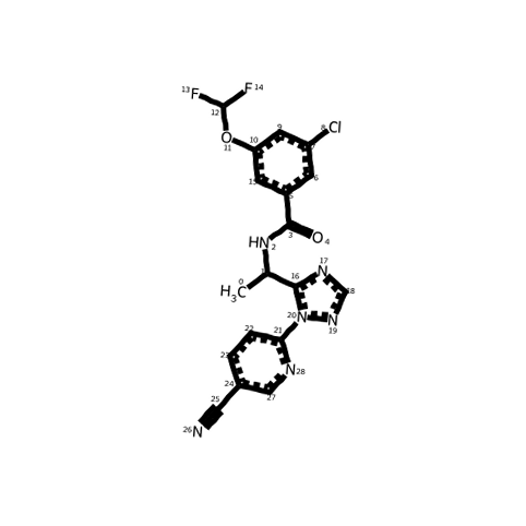 CC(NC(=O)c1cc(Cl)cc(OC(F)F)c1)c1ncnn1-c1ccc(C#N)cn1